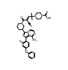 COC(=O)N1CCN(C(C)(C)/C=C(\C#N)C(=O)N2CCCC(c3nc(-c4ccc(Oc5ccccc5)cc4F)c4c(N)nccn34)C2)CC1